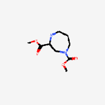 COC(=O)C1CN(C(=O)OC)CCC[N]1